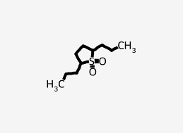 CCCC1CCC(CCC)S1(=O)=O